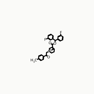 Cc1ccc(C(=O)C[N+]23CCC(CC2)C(C(=O)OC(c2cccc(F)c2)c2cccc(F)c2)C3)cc1